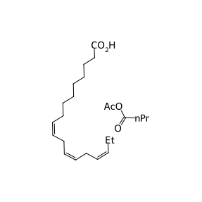 CC/C=C\C/C=C\C/C=C\CCCCCCCC(=O)O.CCCC(=O)OC(C)=O